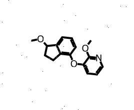 COc1ncccc1Oc1cccc2c1CCC2OC